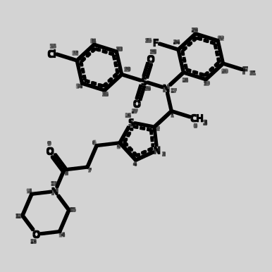 CC(c1ncc(CCC(=O)N2CCOCC2)s1)N(c1cc(F)ccc1F)S(=O)(=O)c1ccc(Cl)cc1